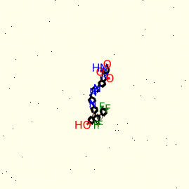 O=C1CC[C@H](N2Cc3cc(N4CCN(CC5CCN(c6ccc([C@@H]7c8ccc(O)cc8C(F)(F)C[C@@H]7c7ccc(F)c(F)c7)cc6)CC5)CC4)ccc3C2=O)C(=O)N1